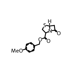 COc1ccc(COC(=O)C2CS[C@@H]3CC(=O)N23)cc1